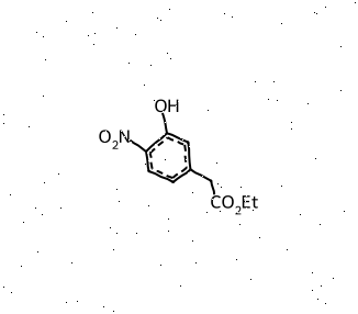 CCOC(=O)Cc1ccc([N+](=O)[O-])c(O)c1